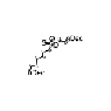 CCCCCCCCCCCCCCCCS(=O)(=S)OCCCCCCCCCCCC